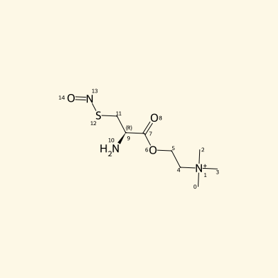 C[N+](C)(C)CCOC(=O)[C@@H](N)CSN=O